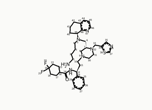 NCCCCN(C[C@H]1CN(CC[C@H](NC(=O)C2CCC(F)(F)CC2)c2ccccc2)CCN1Cc1cncs1)[C@H]1CCCc2cccnc21